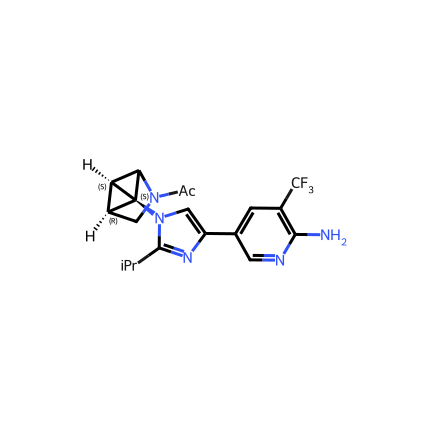 CC(=O)N1C[C@H]2[C@H]3C1[C@@]32n1cc(-c2cnc(N)c(C(F)(F)F)c2)nc1C(C)C